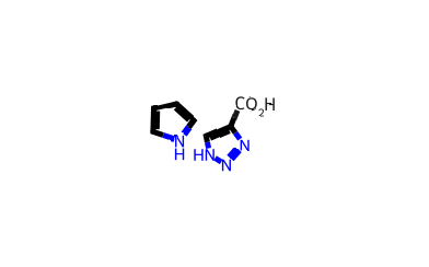 O=C(O)c1c[nH]nn1.c1cc[nH]c1